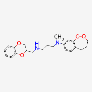 CN(CCCNCC1COc2ccccc2O1)c1ccc2c(c1)OOCCC2